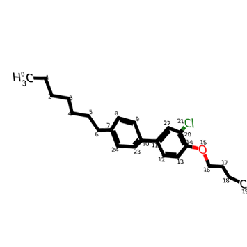 CCCCCCCc1ccc(-c2ccc(OCCCC)c(Cl)c2)cc1